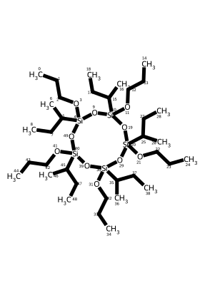 CCCO[Si]1(C(C)CC)O[Si](OCCC)(C(C)CC)O[Si](OCCC)(C(C)CC)O[Si](OCCC)(C(C)CC)O[Si](OCCC)(C(C)CC)O1